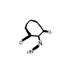 N=NC1C(=O)CCCC1=O